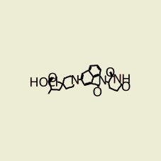 CC(CC1(Cl)CCN(c2cc3c4c(cccc4c2)N(C2CCC(=O)NC2=O)C3=O)CC1)C(=O)O